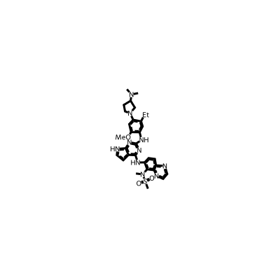 CCc1cc(Nc2nc(Nc3ccc4nccnc4c3N(C)S(C)(=O)=O)c3cc[nH]c3n2)c(OC)cc1N1CCC(N(C)C)C1